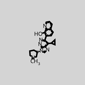 CN1CCC[C@@H](n2cnc3c(C4CC4)c(-c4ccc5cccnc5c4O)nnc32)C1